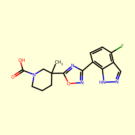 CC1(c2nc(-c3ccc(F)c4cn[nH]c34)no2)CCCN(C(=O)O)C1